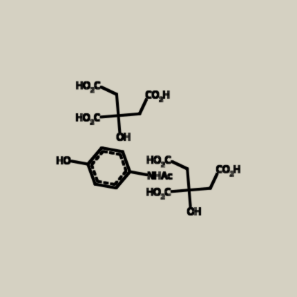 CC(=O)Nc1ccc(O)cc1.O=C(O)CC(O)(CC(=O)O)C(=O)O.O=C(O)CC(O)(CC(=O)O)C(=O)O